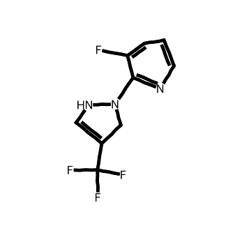 Fc1cccnc1N1CC(C(F)(F)F)=CN1